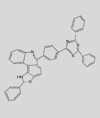 c1ccc(-c2nc(-c3ccccc3)nc(-c3ccc(-c4nc5ccccc5c5c6c(ccc45)OC(c4ccccc4)N6)cc3)n2)cc1